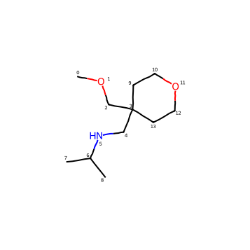 COCC1(CNC(C)C)CCOCC1